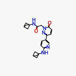 O=C(Cn1nc(-c2ccc(NC34CC(C3)C4)nc2)ccc1=O)NC12CC(C1)C2